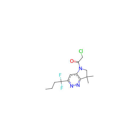 CCCC(F)(F)c1cc2c(nn1)C(C)(C)CN2C(=O)CCl